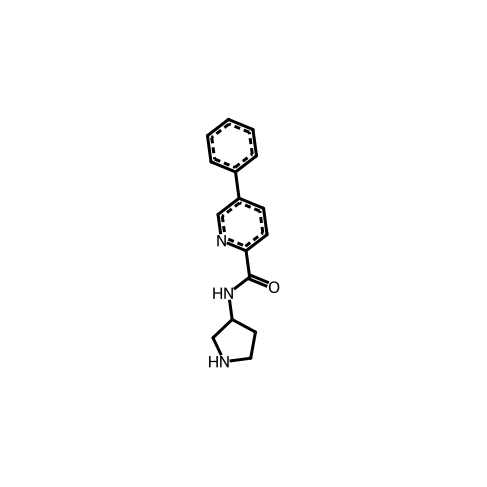 O=C(NC1CCNC1)c1ccc(-c2ccccc2)cn1